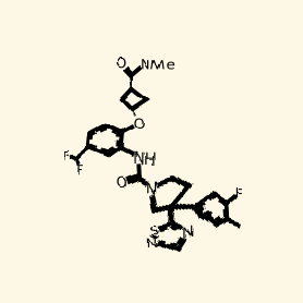 CNC(=O)[C@H]1C[C@H](Oc2ccc(C(F)F)cc2NC(=O)N2CCC(c3ccc(C)c(F)c3)(c3ncns3)C2)C1